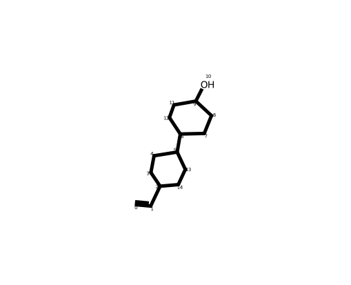 C=CC1CCC(C2CCC(O)CC2)CC1